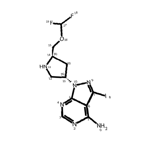 Nc1ncnc2c1c(I)nn2[C@@H]1CN[C@@H](COC(F)F)C1